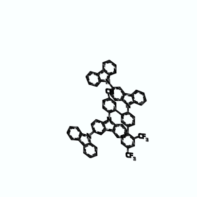 N#Cc1ccc(-n2c3ccccc3c3cc(-n4c5ccccc5c5ccccc54)ccc32)c(-c2cc(-c3ccc(C(F)(F)F)cc3C(F)(F)F)ccc2-n2c3ccccc3c3cc(-n4c5ccccc5c5ccccc54)ccc32)c1